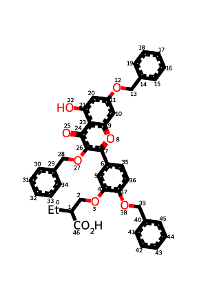 CCC(COc1cc(-c2oc3cc(OCc4ccccc4)cc(O)c3c(=O)c2OCc2ccccc2)ccc1OCc1ccccc1)C(=O)O